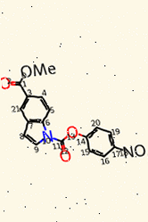 COC(=O)c1ccc2c(ccn2C(=O)Oc2ccc([N+](=O)[O-])cc2)c1